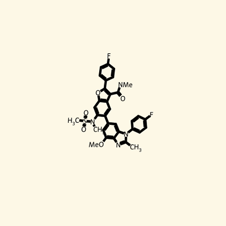 CNC(=O)c1c(-c2ccc(F)cc2)oc2cc(N(C)S(C)(=O)=O)c(-c3cc(OC)c4nc(C)n(-c5ccc(F)cc5)c4c3)cc12